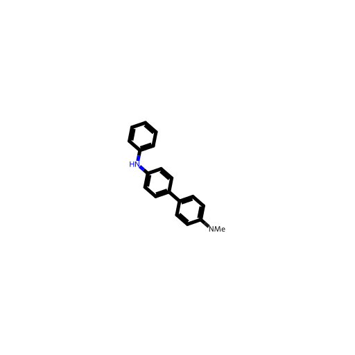 CNc1ccc(-c2ccc(Nc3ccccc3)cc2)cc1